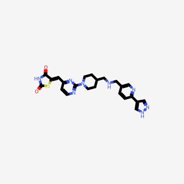 O=C1NC(=O)/C(=C/c2ccnc(N3CCC(CNCc4ccc(-c5cn[nH]c5)nc4)CC3)n2)S1